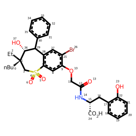 CCCC[C@]1(CC)CS(=O)(=O)c2cc(OCC(=O)N[C@H](Cc3ccccc3O)C(=O)O)c(Br)cc2C(c2ccccc2)[C@H]1O